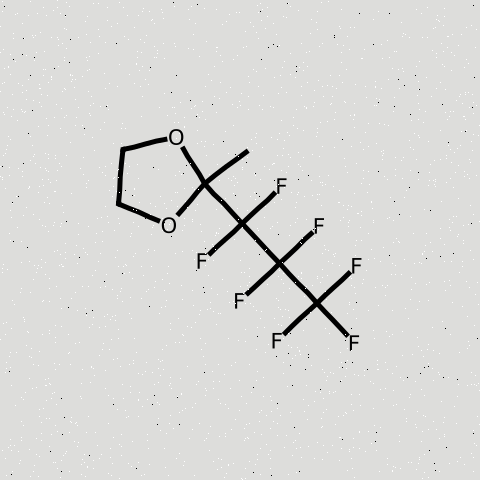 CC1(C(F)(F)C(F)(F)C(F)(F)F)OCCO1